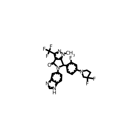 Cn1nc(C(F)(F)F)c2c1C(c1ccc(N3CCC(F)(F)C3)cc1F)N(c1ccc3[nH]cnc3c1)C2=O